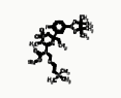 C=C[C@@]1(c2cc(B3OC(C)(C)C(C)(C)O3)ccc2F)CS(=O)(=O)N(C)C(N(COCC[Si](C)(C)C)C(=O)OC(C)(C)C)=N1